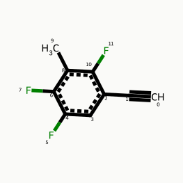 C#Cc1cc(F)c(F)c(C)c1F